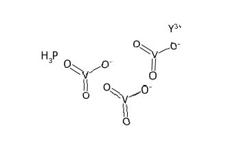 P.[O]=[V](=[O])[O-].[O]=[V](=[O])[O-].[O]=[V](=[O])[O-].[Y+3]